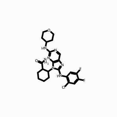 NC(=O)C1CCCCC1n1c(Nc2cc(F)c(F)cc2Cl)nc2cnc(NC3CCOCC3)nc21